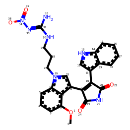 COc1cccc2c1c(C1=C(c3c[nH]c4ccccc34)C(=O)NC1=O)cn2CCCNC(N)=N[N+](=O)[O-]